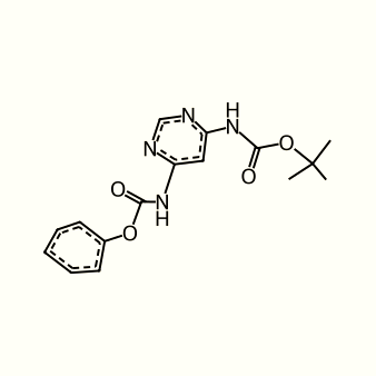 CC(C)(C)OC(=O)Nc1cc(NC(=O)Oc2ccccc2)ncn1